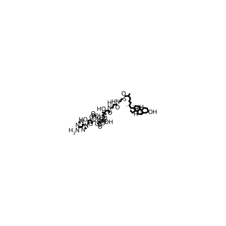 CC(CCC[C@@H](C)[C@H]1CC[C@H]2[C@@H]3CC=C4CC(O)CC[C@]4(C)[C@H]3CC[C@]12C)C(=O)SCCNC(=O)CCNC(=O)[C@H](O)C(C)(C)COP(=O)(O)OP(=O)(O)OC[C@H]1O[C@@H](n2cnc3c(N)ncnc32)[C@H](O)[C@@H]1OP(=O)(O)O